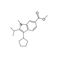 COC(=O)c1ccc2c(C3CCCC3)c(C(C)C)n(C)c2c1